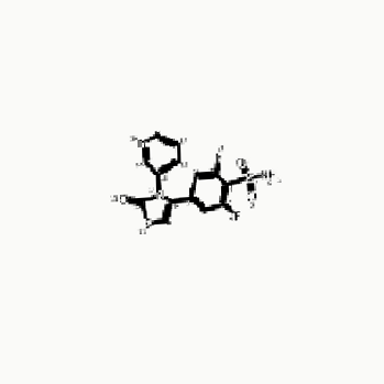 NS(=O)(=O)c1c(F)cc(-c2csc(=O)n2-c2cccnc2)cc1F